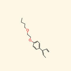 C=C/C(=C\C)c1ccc(OCCOCCCC)cc1